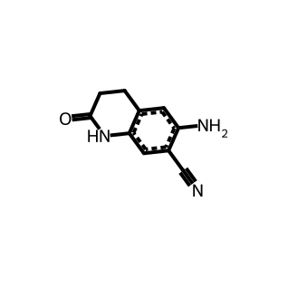 N#Cc1cc2c(cc1N)CCC(=O)N2